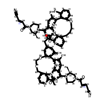 CC(C)c1nccc2c1-n1c(=O)nc(N3CCN(C(=O)/C=C/C#N)C[C@@H]3C)c3cc(F)c(nc31)-c1c(F)cc(CC(C)c3nccc4c3-n3c(=O)nc(N5CCN(C(=O)/C=C/C#N)C[C@@H]5C)c5cc(F)c(nc53)-c3c(F)cccc3OCCC4)cc1OCCC2